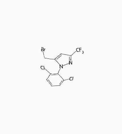 FC(F)(F)c1cc(CBr)n(-c2c(Cl)cccc2Cl)n1